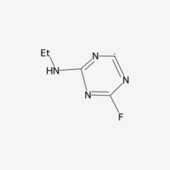 CCNc1n[c]nc(F)n1